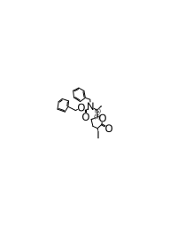 C[C@@H]([C@@H]1CCC(I)C(=O)O1)N(Cc1ccccc1)C(=O)OCc1ccccc1